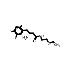 CCOCCNC(=O)C[C@H](N)Cc1cc(F)c(F)cc1F